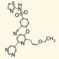 C=CO/C=C\Cc1nc(-c2cncnc2)ccc1Oc1ccc(S(=O)(=O)Nc2nccs2)cc1C#N